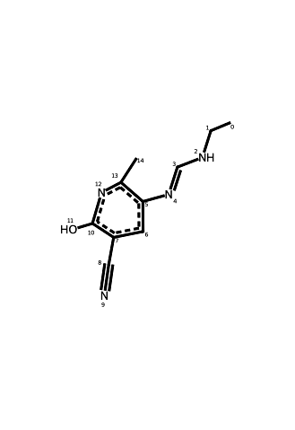 CCN/C=N/c1cc(C#N)c(O)nc1C